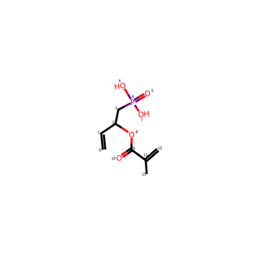 C=CC(CP(=O)(O)O)OC(=O)C(=C)C